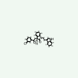 O=C(C[C@]1(O)C(=O)N(CCc2c[nH]c3ccccc23)c2ccccc21)c1cccc(Cl)c1